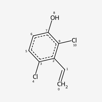 C=Cc1c(Cl)ccc(O)c1Cl